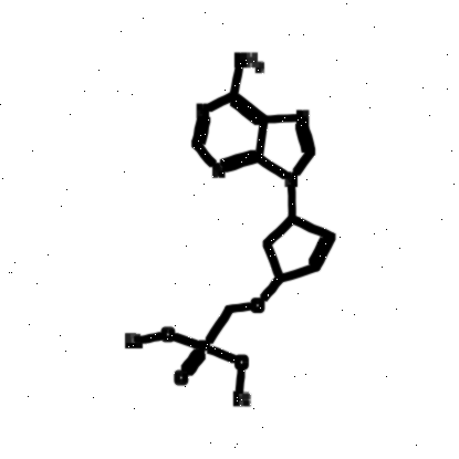 CCOP(=O)(COC1C=CC(n2cnc3c(N)ncnc32)C1)OCC